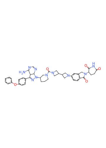 NC1=NC=NC2C1C(c1ccc(Oc3ccccc3)cc1)=NN2[C@@H]1CCCN(C(=O)N2CC(C3CN(c4ccc5c(c4)CN(C4CCC(=O)NC4=O)C5=O)C3)C2)C1